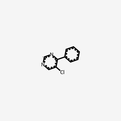 Clc1cn[c]nc1-c1ccccc1